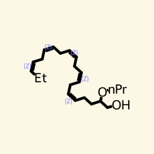 CC/C=C\C/C=C\C/C=C\C/C=C\C/C=C\CCC(CO)OCCC